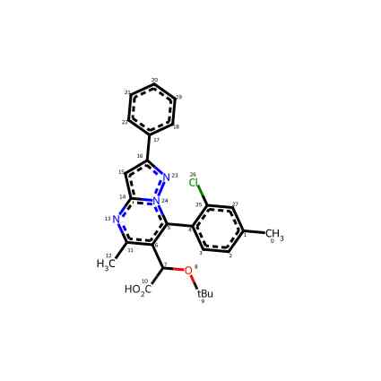 Cc1ccc(-c2c(C(OC(C)(C)C)C(=O)O)c(C)nc3cc(-c4ccccc4)nn23)c(Cl)c1